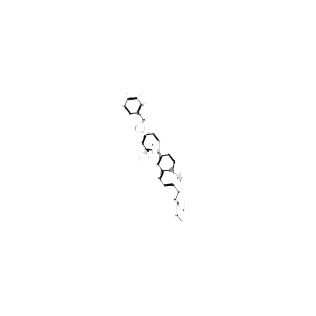 CCNCCc1ccc2cc(-n3ccc(OCc4ccccc4)cc3=O)ccc2n1